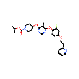 Cc1c(Oc2ccc(OCCc3ccccn3)cc2F)ncnc1OC1CCN(C(=O)OC(C)C)CC1